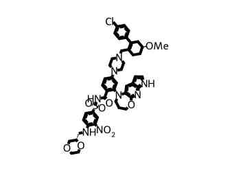 CO[C@@H]1CCC(CN2CCN(c3ccc(C(=O)NS(=O)(=O)c4ccc(NC[C@H]5COCCO5)c([N+](=O)[O-])c4)c(N4CCCOc5nc6[nH]ccc6cc54)c3)CC2)=C(c2ccc(Cl)cc2)C1